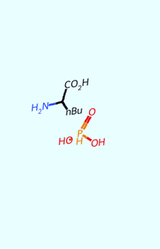 CCCCC(N)C(=O)O.O=[PH](O)O